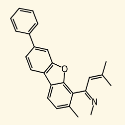 C/N=C(/C=C(C)C)c1c(C)ccc2c1oc1cc(-c3ccccc3)ccc12